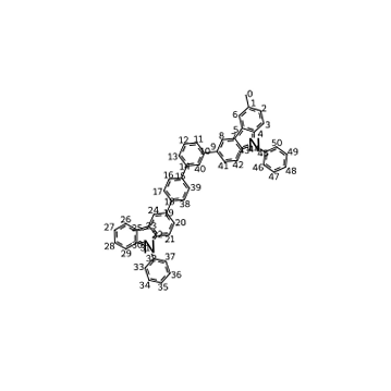 Cc1ccc2c(c1)c1cc(-c3cccc(-c4ccc(-c5ccc6c(c5)c5ccccc5n6-c5ccccc5)cc4)c3)ccc1n2-c1ccccc1